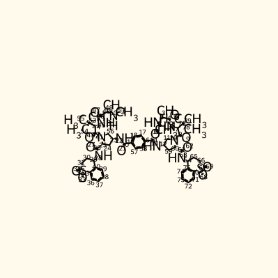 CN[C@@H](C)C(=O)N[C@H](C(=O)N1C[C@@H](NC(=O)c2ccc(C(=O)N[C@H]3C[C@@H](C(=O)N[C@@H]4CCS(=O)(=O)c5ccccc54)N(C(=O)[C@@H](NC(=O)[C@H](C)NC)C(C)(C)C)C3)cc2)C[C@H]1C(=O)N[C@@H]1CCS(=O)(=O)c2ccccc21)C(C)(C)C